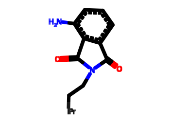 CC(C)CCN1C(=O)c2cccc(N)c2C1=O